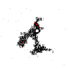 CCN(C(=O)OCc1ccc(NC(=O)[C@H](CCCNC(N)=O)NC(=O)[C@@H](NC(=O)[C@H](CCCCN)NC(C)=O)C(C)C)cc1)[C@H]1CO[C@@H](O[C@H]2[C@H](O[C@H]3C#C/C=C\C#C[C@]4(O)CC(=O)C(NC(=O)OC)=C3/C4=C\CSSC(C)(C)CCC(=O)O)O[C@H](C)[C@@H](NO[C@H]3C[C@H](O)[C@H](SC(=O)c4c(C)c(I)c(O[C@@H]5O[C@@H](C)[C@H](O)[C@@H](OC)[C@H]5O)c(OC)c4OC)[C@@H](C)O3)[C@@H]2O)C[C@@H]1OC